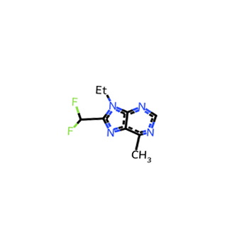 CCn1c(C(F)F)nc2c(C)ncnc21